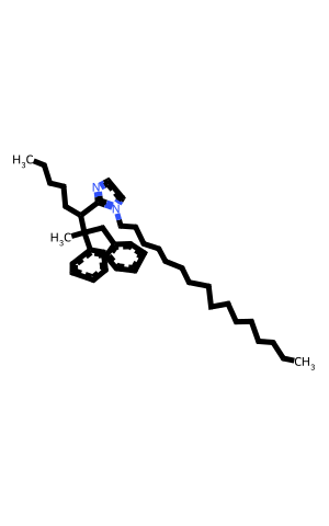 CCCCCCCCCCCCCCCCn1ccnc1C(CCCCC)C(C)(Cc1ccccc1)c1ccccc1